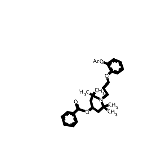 CC(=O)Oc1ccccc1OCCCN1C(C)(C)CC(OC(=O)c2ccccc2)CC1(C)C